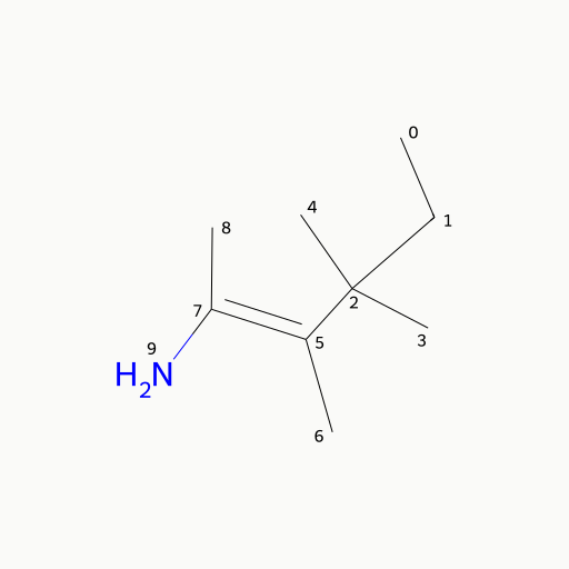 CCC(C)(C)/C(C)=C(\C)N